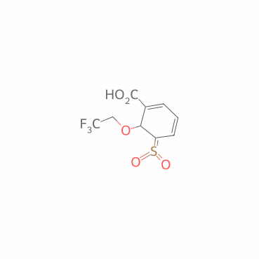 O=C(O)C1=CC=CC(=S(=O)=O)C1OCC(F)(F)F